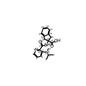 CC(C)N(C)c1cccnc1C(=O)NC1(C(=O)O)Cc2ccccc2C1